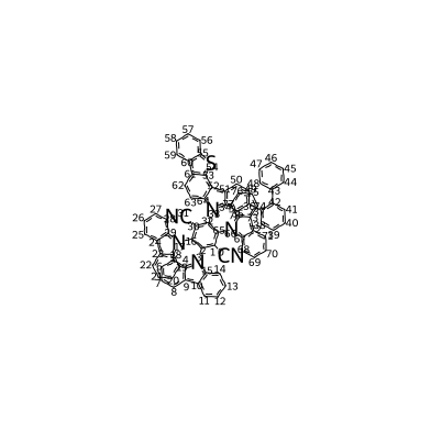 N#Cc1c(-n2c3ccccc3c3ccccc32)c(-n2c3ccccc3c3ccccc32)c(C#N)c(-n2c3cc(-c4ccccc4-c4ccccc4)ccc3c3c4sc5ccccc5c4ccc32)c1-n1c2ccccc2c2ccccc21